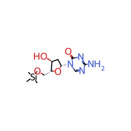 C[Si](C)(C)OC[C@H]1O[C@@H](n2cnc(N)nc2=O)C[C@@H]1O